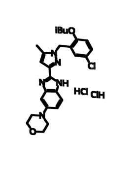 Cc1cc(-c2nc3cc(N4CCOCC4)ccc3[nH]2)nn1Cc1cc(Cl)ccc1OCC(C)C.Cl.Cl